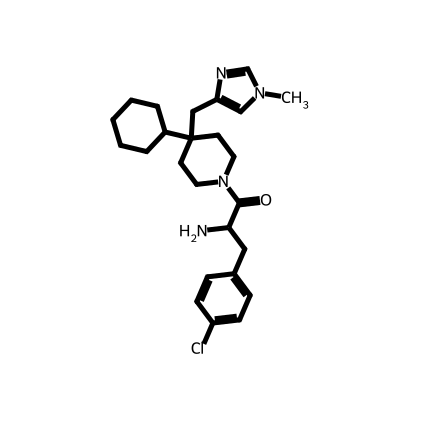 Cn1cnc(CC2(C3CCCCC3)CCN(C(=O)C(N)Cc3ccc(Cl)cc3)CC2)c1